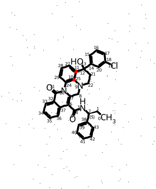 CC[C@H](NC(=O)c1c(CN2CCC(O)(c3cccc(Cl)c3)CC2)n(-c2ccccc2)c(=O)c2ccccc12)c1ccccc1